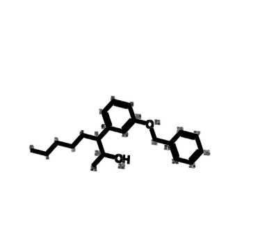 CCCCCC(c1cccc(OCc2ccccc2)c1)C(C)O